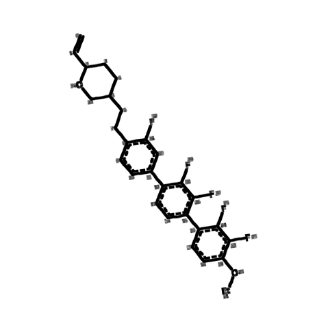 C=CC1CCC(CCc2ccc(-c3ccc(-c4ccc(OCC)c(F)c4F)c(F)c3F)cc2F)CO1